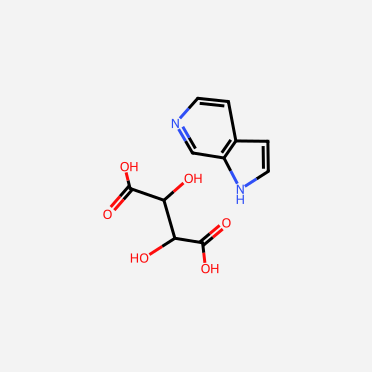 O=C(O)C(O)C(O)C(=O)O.c1cc2cc[nH]c2cn1